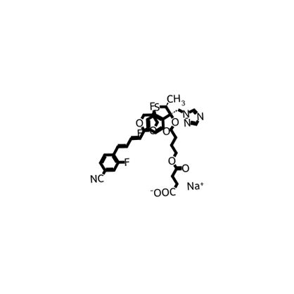 C[C@@H](SC1COC(C=CC=Cc2ccc(C#N)cc2F)OC1)[C@@](Cn1cncn1)(OC(=O)CCCOC(=O)CCC(=O)[O-])c1ccc(F)cc1F.[Na+]